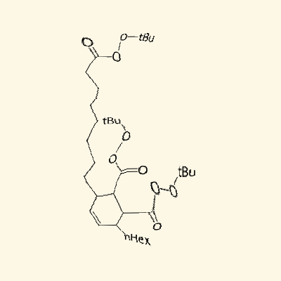 CCCCCCC1C=CC(CCCCCCCC(=O)OOC(C)(C)C)C(C(=O)OOC(C)(C)C)C1C(=O)OOC(C)(C)C